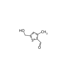 Cc1cc(CO)sc1C=O